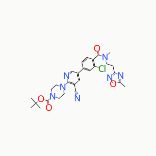 Cc1nc(CCN(C)C(=O)c2ccc(-c3cnc(N4CCN(C(=O)OC(C)(C)C)CC4)c(C#N)c3)cc2Cl)no1